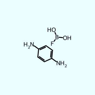 Nc1ccc(N)cc1.OB(O)F